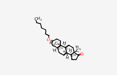 CCCCCCCO[C@@H]1CC[C@@]2(C)[C@@H](CC[C@@H]3[C@@H]2CC[C@]2(C)C(=O)CC[C@@H]32)C1